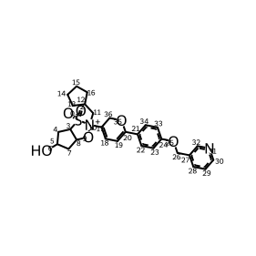 O=S1(=O)C2CC(O)CC2O[N+]1(CC1CCCC1)C1=CC=C(c2ccc(OCc3cccnc3)cc2)OC1